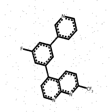 Fc1cc(-c2cccnc2)cc(-c2ccnc3nc(C(F)(F)F)ccc23)c1